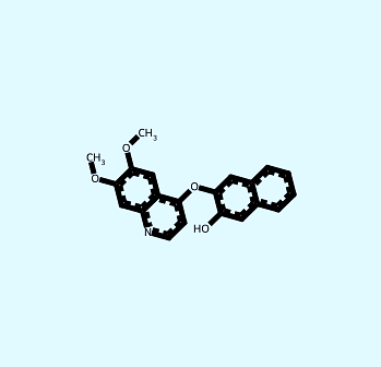 COc1cc2nccc(Oc3cc4ccccc4cc3O)c2cc1OC